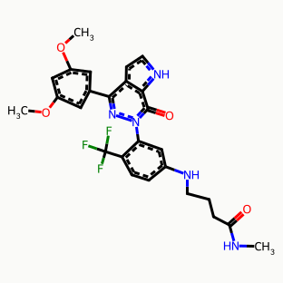 CNC(=O)CCCNc1ccc(C(F)(F)F)c(-n2nc(-c3cc(OC)cc(OC)c3)c3cc[nH]c3c2=O)c1